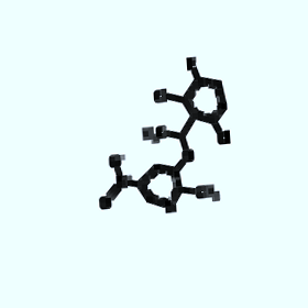 Cc1ncc([N+](=O)[O-])cc1OC(C)c1c(Cl)ccc(F)c1Cl